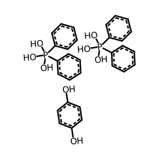 OP(O)(O)(c1ccccc1)c1ccccc1.OP(O)(O)(c1ccccc1)c1ccccc1.Oc1ccc(O)cc1